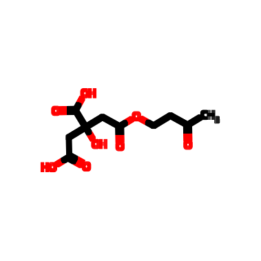 CC(=O)CCOC(=O)CC(O)(CC(=O)O)C(=O)O